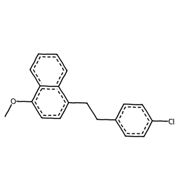 COc1ccc(CCc2ccc(Cl)cc2)c2ccccc12